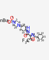 CCCCOC(=O)N1CCN(c2ccc(NC(=O)c3nc(-c4ccccc4)oc3C(F)(F)F)cc2)CC1